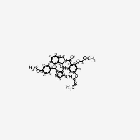 COCOc1cc(Nc2c(C)cnn2Cc2ccc(OC)cc2)c(C(=O)N2Cc3ccccc3C2)c(OCOC)c1